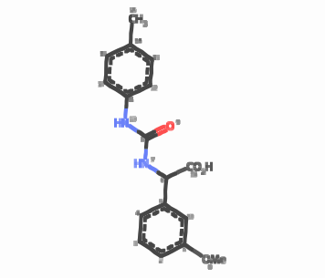 COc1cccc(C(NC(=O)Nc2ccc(C)cc2)C(=O)O)c1